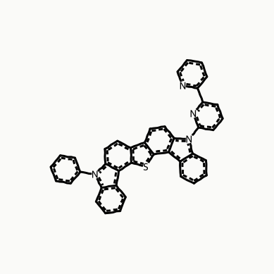 c1ccc(-n2c3ccccc3c3c4sc5c(ccc6c5c5ccccc5n6-c5cccc(-c6ccccn6)n5)c4ccc32)cc1